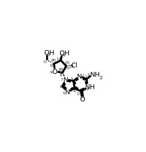 Nc1nc2c(ncn2[C@@H]2O[C@H](CO)C(O)[C@@H]2Cl)c(=O)[nH]1